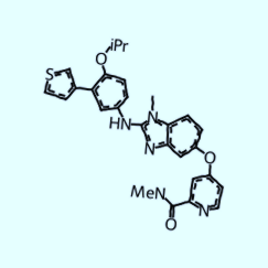 CNC(=O)c1cc(Oc2ccc3c(c2)nc(Nc2ccc(OC(C)C)c(-c4ccsc4)c2)n3C)ccn1